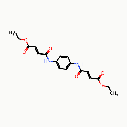 CCOC(=O)/C=C/C(=O)Nc1ccc(NC(=O)/C=C/C(=O)OCC)cc1